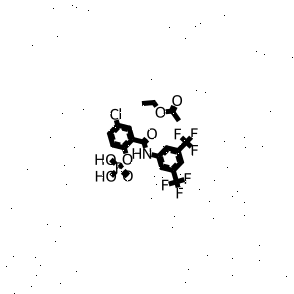 CCOC(C)=O.O=C(Nc1cc(C(F)(F)F)cc(C(F)(F)F)c1)c1cc(Cl)ccc1OP(=O)(O)O